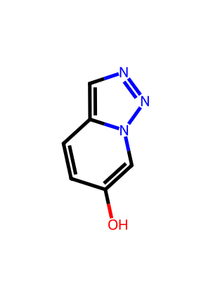 Oc1ccc2cnnn2c1